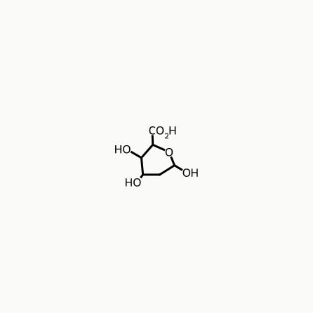 O=C(O)C1OC(O)CC(O)C1O